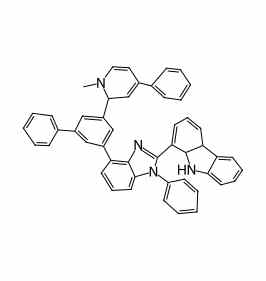 CN1C=CC(c2ccccc2)=CC1c1cc(-c2ccccc2)cc(-c2cccc3c2nc(C2=CC=CC4c5ccccc5NC24)n3-c2ccccc2)c1